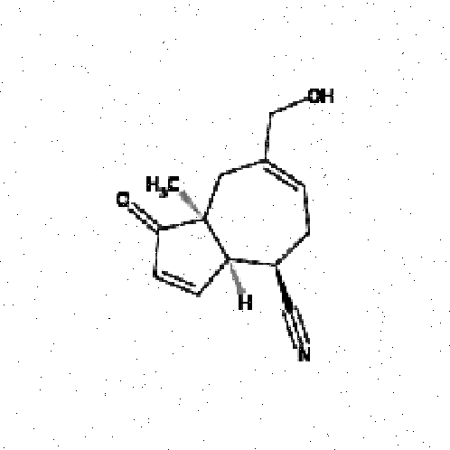 C[C@]12CC(CO)=CC[C@@H](C#N)[C@H]1C=CC2=O